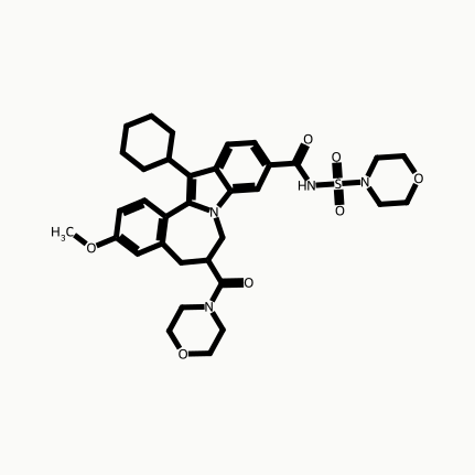 COc1ccc2c(c1)CC(C(=O)N1CCOCC1)Cn1c-2c(C2CCCCC2)c2ccc(C(=O)NS(=O)(=O)N3CCOCC3)cc21